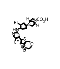 CCc1cc(N2C[C@H]3C[C@@H]2CN3C(=O)O)ccc1Nc1ncc(C(F)(F)F)c(-c2cc3c(s2)COCCS3(=O)=O)n1